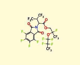 O=C(OCC(F)(OC(F)(F)C(F)(F)C(F)(F)F)C(F)(F)F)C(C(C(F)(F)F)C(F)(F)F)N1C(=O)c2c(F)c(F)c(F)c(F)c2C1=O